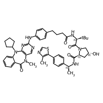 Cc1ncsc1-c1ccc([C@H](C)NC(=O)[C@@H]2C[C@@H](O)CN2C(=O)[C@@H](NC(=O)CCCc2ccc(Nc3ncc4c(n3)N(C3CCCC3)c3ccccc3C(=O)N4C)cc2)C(C)(C)C)cc1